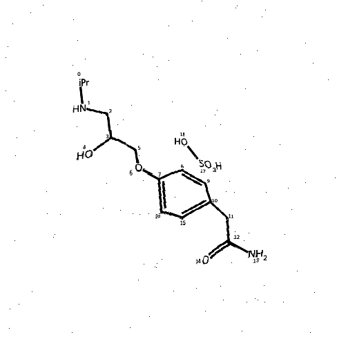 CC(C)NCC(O)COc1ccc(CC(N)=O)cc1.O=S(=O)(O)O